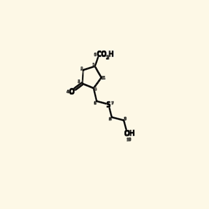 O=C(O)C1CC(=O)C(CSCCO)C1